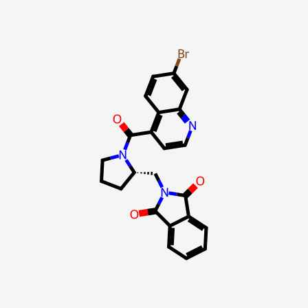 O=C1c2ccccc2C(=O)N1C[C@@H]1CCCN1C(=O)c1ccnc2cc(Br)ccc12